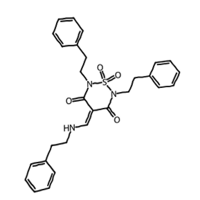 O=C1C(=CNCCc2ccccc2)C(=O)N(CCc2ccccc2)S(=O)(=O)N1CCc1ccccc1